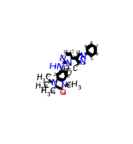 Cc1nn(-c2ccccc2)cc1-c1ccnc(Nc2ccc3c(c2)N(C(C)C)C(C)C(=O)N3C)n1